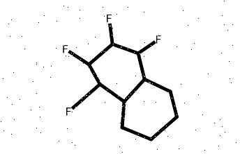 FC1C(F)C(F)C2CCCCC2C1F